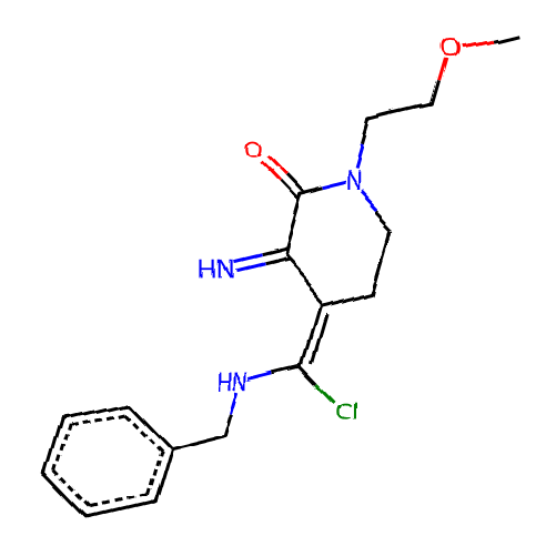 COCCN1CC/C(=C(\Cl)NCc2ccccc2)C(=N)C1=O